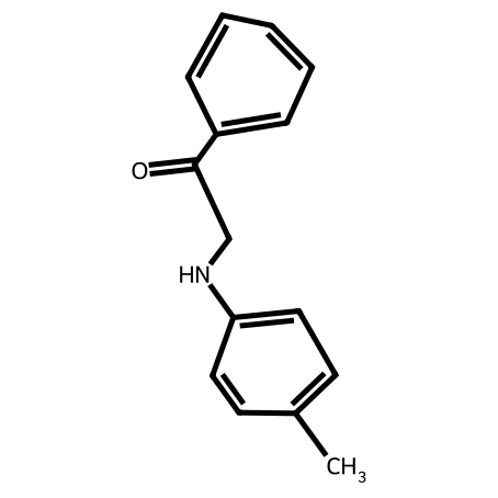 Cc1ccc(NCC(=O)c2ccccc2)cc1